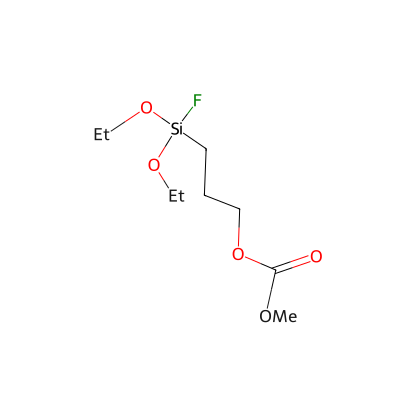 CCO[Si](F)(CCCOC(=O)OC)OCC